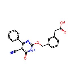 N#Cc1c(-c2ccccc2)nc(OCc2cccc(CC(=O)O)c2)[nH]c1=O